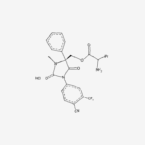 CC(C)C(N)C(=O)OC[C@@]1(c2ccccc2)C(=O)N(c2ccc(C#N)c(C(F)(F)F)c2)C(=O)N1C.Cl